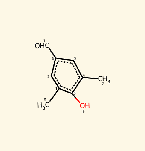 Cc1cc([C]=O)cc(C)c1O